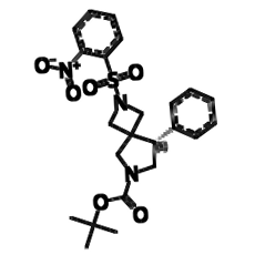 CC(C)(C)OC(=O)N1C[C@@H](c2ccccc2)C2(C1)CN(S(=O)(=O)c1ccccc1[N+](=O)[O-])C2